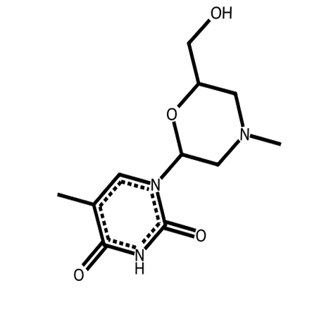 Cc1cn(C2CN(C)CC(CO)O2)c(=O)[nH]c1=O